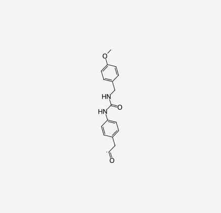 COc1ccc(CNC(=O)Nc2ccc(C[C]=O)cc2)cc1